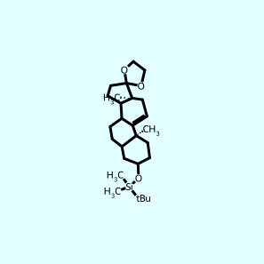 CC(C)(C)[Si](C)(C)OC1CC[C@]2(C)C3=CC[C@@]4(C)C(CCC45OCCO5)C3CCC2C1